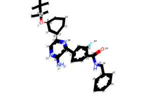 CC(C)(C)[Si](C)(C)O[C@@H]1CCC[C@H](c2cnc(N)c(-c3ccc(C(=O)NCc4ccccc4)c(F)c3)n2)C1